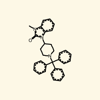 Cn1c(=O)n(C2CCN(C(c3ccccc3)(c3ccccc3)c3ccccc3)CC2)c2ccccc21